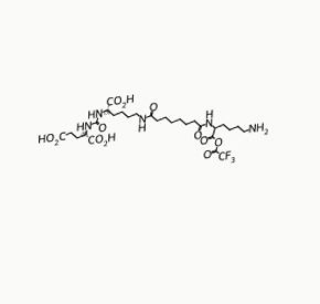 NCCCCC(NC(=O)CCCCCCC(=O)NCCCC[C@H](NC(=O)N[C@@H](CCC(=O)O)C(=O)O)C(=O)O)C(=O)OC(=O)C(F)(F)F